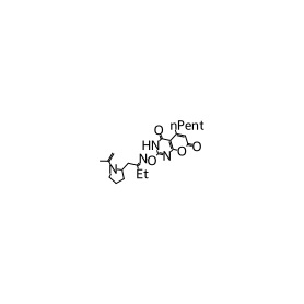 C=C(C)N1CCCC1C/C(CC)=N/Oc1nc2oc(=O)cc(CCCCC)c2c(=O)[nH]1